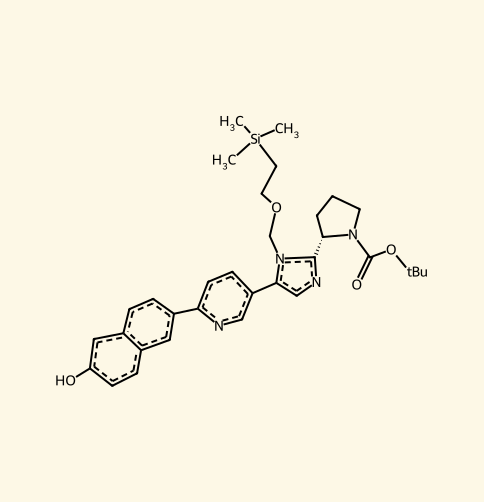 CC(C)(C)OC(=O)N1CCC[C@H]1c1ncc(-c2ccc(-c3ccc4cc(O)ccc4c3)nc2)n1COCC[Si](C)(C)C